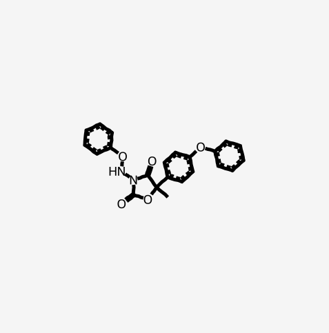 CC1(c2ccc(Oc3ccccc3)cc2)OC(=O)N(NOc2ccccc2)C1=O